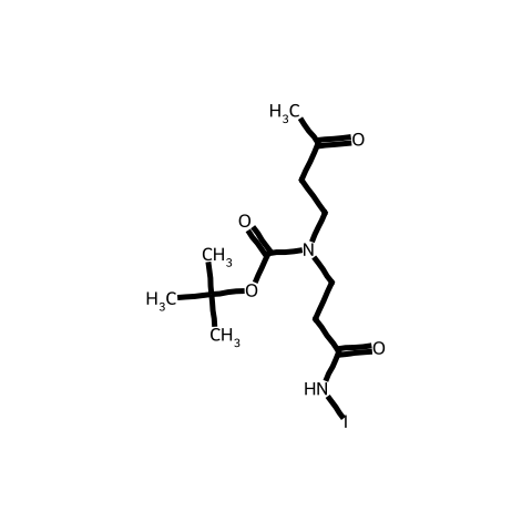 CC(=O)CCN(CCC(=O)NI)C(=O)OC(C)(C)C